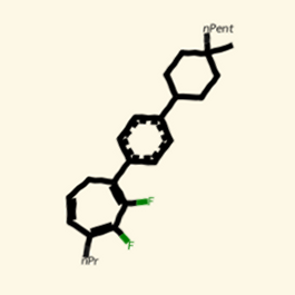 CCCCCC1(C)CCC(c2ccc(C3=C(F)C(F)=C(CCC)C=CC3)cc2)CC1